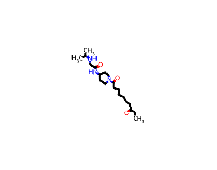 CCC(=O)CCCCCCC(=O)N1CCC(NC(=O)CNC(C)C)CC1